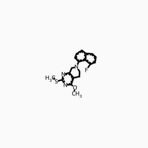 COc1nc(SC)nc2c1CCN(c1cccc3cccc(F)c13)C2